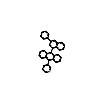 c1ccc(-c2cc(-c3c4ccccc4c(-c4cccnc4)c4ccccc34)c3ccccc3c2)cc1